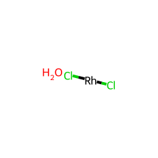 O.[Cl][Rh][Cl]